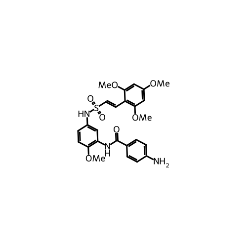 COc1cc(OC)c(C=CS(=O)(=O)Nc2ccc(OC)c(NC(=O)c3ccc(N)cc3)c2)c(OC)c1